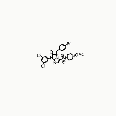 CC(=O)ON1CCN(S(=O)(=O)c2cnc3n2[C@](C)(Cc2ccc(Br)cc2)C(=O)N3c2cc(Cl)cc(Cl)c2)CC1